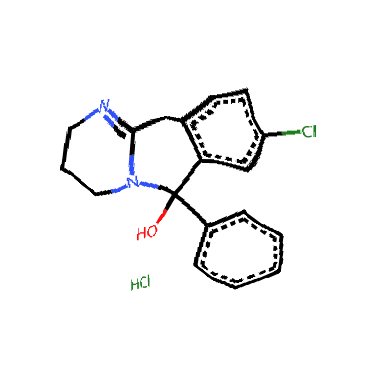 Cl.OC1(c2ccccc2)c2cc(Cl)ccc2C2=NCCCN21